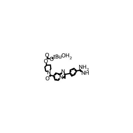 CC(C)(C)OC(=O)OC1CCN(C(=O)c2ccn3cc(-c4ccc(C(=N)N)cc4)nc3c2)CC1.O